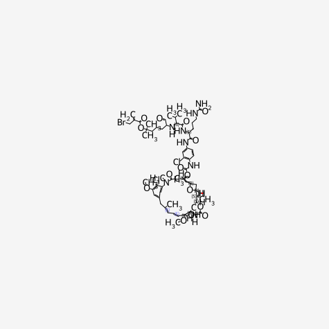 C=C(CBr)C(=O)OC(C)(C)CCCC(C=O)N[C@H](C(=O)N[C@@H](CCCNC(N)=O)C(=O)Nc1ccc(NC(=O)O[C@H]2CC(=O)N(C)c3cc(cc(OC)c3Cl)C/C(C)=C/C=C/[C@@H](OC)[C@@]3(O)C[C@H](OC(=O)N3)[C@@H](C)[C@H]3C[C@@]2(C)O3)c(Cl)c1)C(C)C